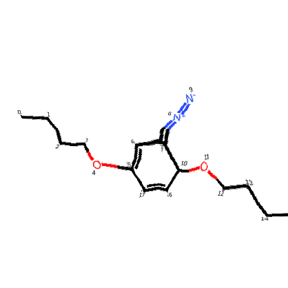 CCCCOC1=CC(=[N+]=[N-])C(OCCCC)C=[C]1